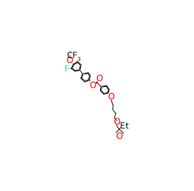 CCC1(COCCCCCOc2ccc(C(=O)Oc3ccc(-c4ccc(OC(F)(F)F)c(F)c4)cc3)cc2)COC1